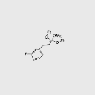 CCO[Si](CCc1cccc(F)c1)(OC)OCC